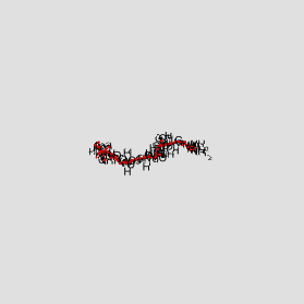 CCC(C)[C@H](NC(=O)[C@H]1CCCCN1C)C(=O)N(COC(=O)CC(C)C)[C@H](CCc1nc(C(=O)NCC[C@H](C)C(=O)NNC(=O)OCCSSCCNC(=O)CNC(=O)[C@H](CCC(=O)O)NC(=O)CNC(=O)[C@H](CCC(=O)O)NC(=O)CNC(=O)CCCNC(=O)c2ccc(NCc3cnc(NN)c(C(N)=O)n3)cc2)cs1)COC(C)=O